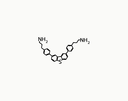 NCCCc1ccc(-c2ccc3sc4ccc(-c5ccc(CCCN)cc5)cc4c3c2)cc1